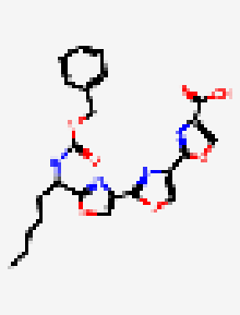 CCCCCC(NC(=O)OCc1ccccc1)c1nc(-c2nc(-c3nc(C(=O)O)co3)co2)co1